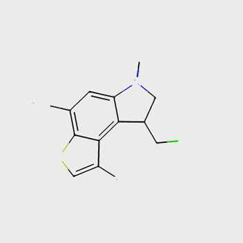 CC(=O)Oc1cc2c(c3c(C)csc13)C(CCl)CN2C(=O)O